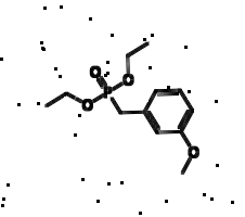 CCOP(=O)(Cc1cccc(OC)c1)OCC